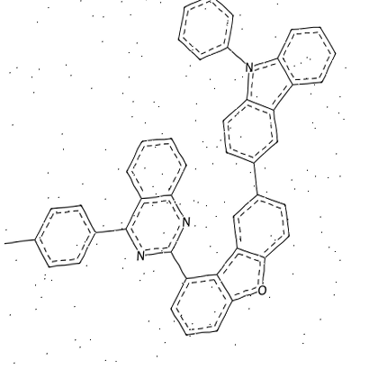 Cc1ccc(-c2nc(-c3cccc4oc5ccc(-c6ccc7c(c6)c6ccccc6n7-c6ccccc6)cc5c34)nc3ccccc23)cc1